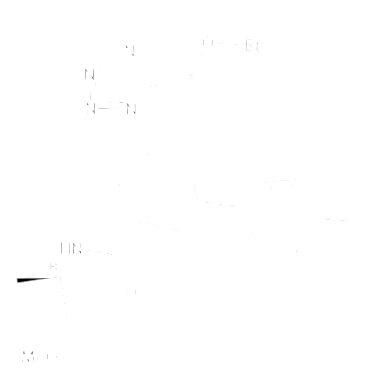 CCOCc1nnnn1-c1cc(C(=O)N[C@H](C)COC)cc(-c2ccc(C)cc2)c1